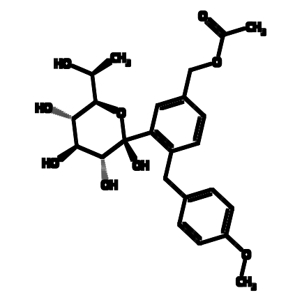 COc1ccc(Cc2ccc(COC(C)=O)cc2[C@@]2(O)O[C@H]([C@H](C)O)[C@@H](O)[C@H](O)[C@H]2O)cc1